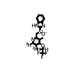 [2H]c1nc(C[S+]([O-])c2nc3ccccc3[nH]2)c(C)c(OC([2H])([2H])C(F)(F)F)c1[2H]